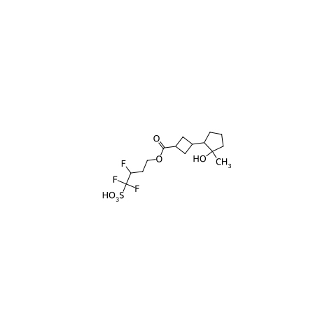 CC1(O)CCCC1C1CC(C(=O)OCCC(F)C(F)(F)S(=O)(=O)O)C1